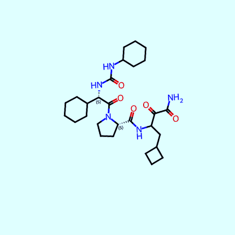 NC(=O)C(=O)C(CC1CCC1)NC(=O)[C@@H]1CCCN1C(=O)[C@@H](NC(=O)NC1CCCCC1)C1CCCCC1